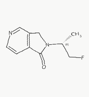 C[C@H](CF)N1Cc2cnccc2C1=O